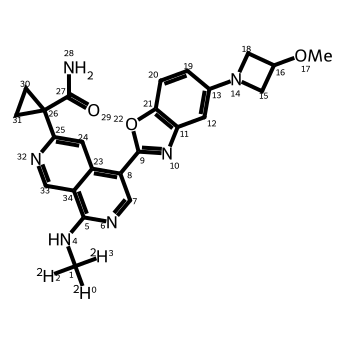 [2H]C([2H])([2H])Nc1ncc(-c2nc3cc(N4CC(OC)C4)ccc3o2)c2cc(C3(C(N)=O)CC3)ncc12